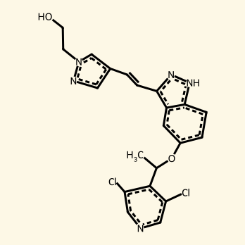 CC(Oc1ccc2[nH]nc(C=Cc3cnn(CCO)c3)c2c1)c1c(Cl)cncc1Cl